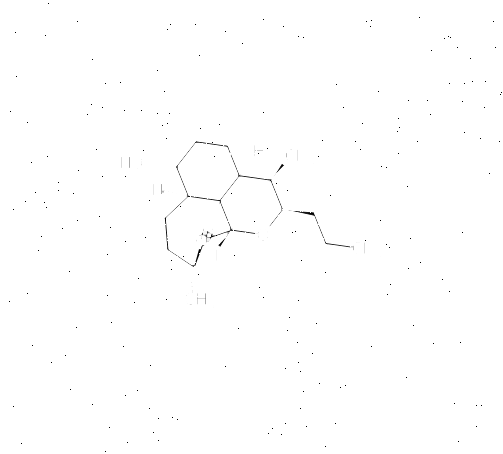 CCC[C@H]1O[C@@H]2O[C@]3(C)CC[C@H]4[C@H](C)CC[C@@H]([C@H]1C)[C@@]24OO3